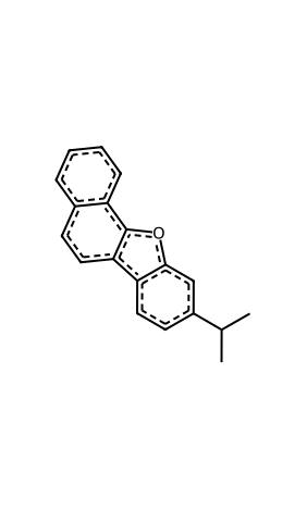 CC(C)c1ccc2c(c1)oc1c3ccccc3ccc21